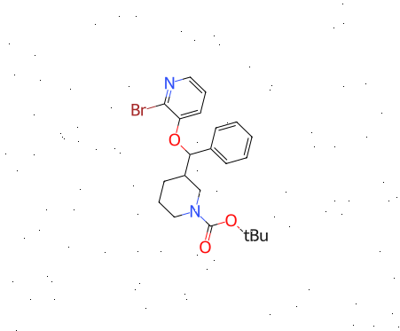 CC(C)(C)OC(=O)N1CCCC(C(Oc2cccnc2Br)c2ccccc2)C1